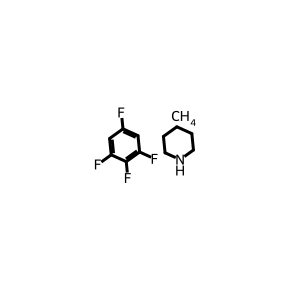 C.C1CCNCC1.Fc1cc(F)c(F)c(F)c1